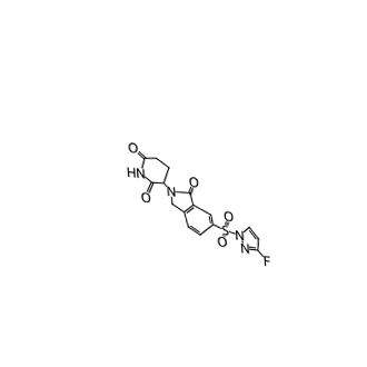 O=C1CCC(N2Cc3ccc(S(=O)(=O)n4ccc(F)n4)cc3C2=O)C(=O)N1